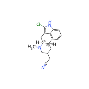 CN1CC(CC#N)C[C@H]2c3cccc4[nH]c(Cl)c(c34)C[C@@H]21